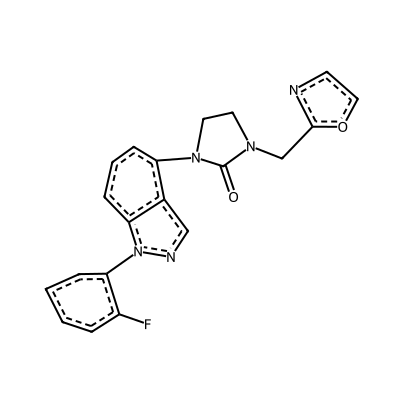 O=C1N(Cc2ncco2)CCN1c1cccc2c1cnn2-c1ccccc1F